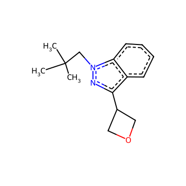 CC(C)(C)Cn1nc(C2COC2)c2ccccc21